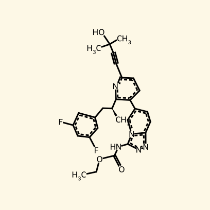 CCOC(=O)Nc1nnc2ccc(-c3ccc(C#CC(C)(C)O)nc3[C@@H](C)Cc3cc(F)cc(F)c3)cn12